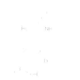 CCOC(=O)C(NC(=O)c1cc(Oc2c(Br)cc(C(C)(O)P=O)cc2Br)ccc1O)C(C)CC